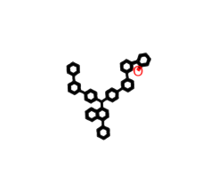 c1ccc(-c2cccc(-c3ccc(C(c4ccc(-c5cccc(-c6cccc7c6oc6ccccc67)c5)cc4)c4ccc(-c5ccccc5)c5ccccc45)cc3)c2)cc1